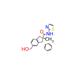 C[C@]1(C(=O)Nc2nccs2)Cc2ccc(CO)cc2[C@H]1c1ccccc1